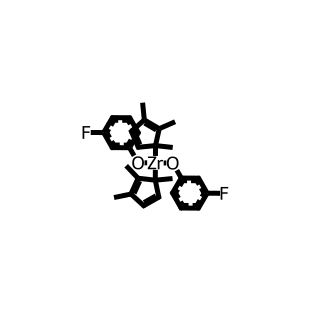 CC1=C(C)[C](C)([Zr]([O]c2cccc(F)c2)([O]c2cccc(F)c2)[C]2(C)C=CC(C)=C2C)C=C1